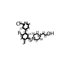 Cc1cc(F)c(-c2ccnc(Cl)c2)cc1SN1CCN(CCO)CC1